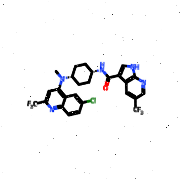 CN(c1cc(C(F)(F)F)nc2ccc(Cl)cc12)[C@H]1CC[C@@H](NC(=O)c2c[nH]c3ncc(C(F)(F)F)cc23)CC1